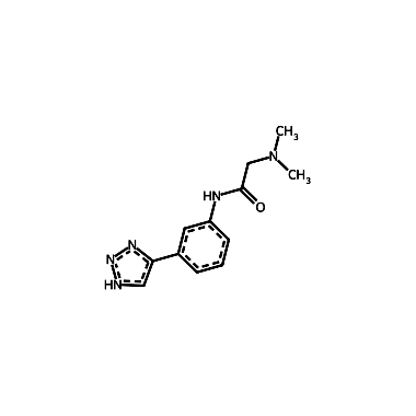 CN(C)CC(=O)Nc1cccc(-c2c[nH]nn2)c1